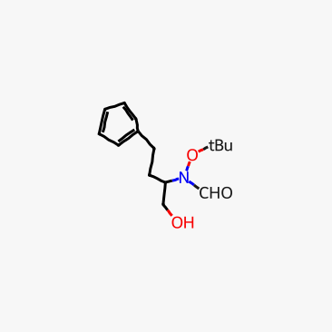 CC(C)(C)ON(C=O)C(CO)CCc1ccccc1